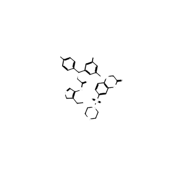 Cc1cc(F)cc([C@@H](CC(=O)NC2=C(CC[C@H]3CNCCN3S(=O)(=O)c3ccc4c(c3)NC(=O)CO4)CN=C2)c2ccc(F)cc2)c1